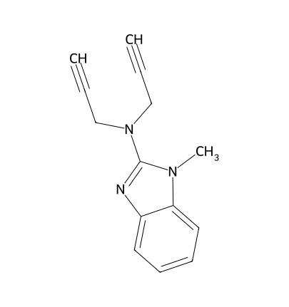 C#CCN(CC#C)c1nc2ccccc2n1C